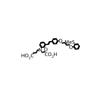 CSc1ccccc1OCCCCOc1ccc(C=Cc2cccc3c2OC(C(=O)O)CN3CCCC(=O)O)cc1